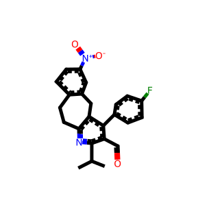 CC(C)c1nc2c(c(-c3ccc(F)cc3)c1C=O)Cc1cc([N+](=O)[O-])ccc1CC2